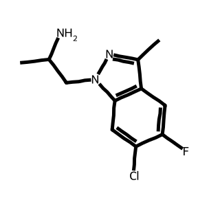 Cc1nn(CC(C)N)c2cc(Cl)c(F)cc12